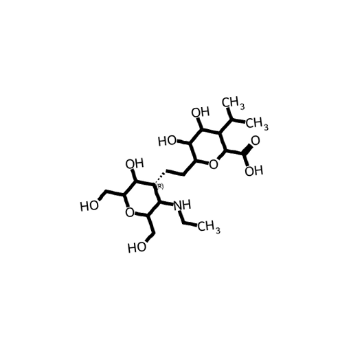 CCNC1C(CO)OC(CO)C(O)[C@@H]1CCC1OC(C(=O)O)C(C(C)C)C(O)C1O